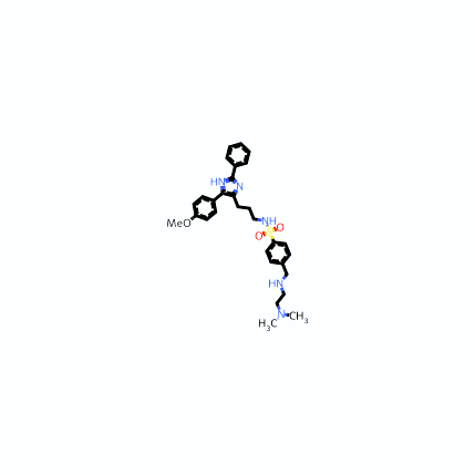 COc1ccc(-c2[nH]c(-c3ccccc3)nc2CCCNS(=O)(=O)c2ccc(CNCCN(C)C)cc2)cc1